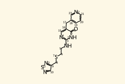 O=c1[nH]c(NCCSCc2cnsn2)ncc1Cc1cccnc1